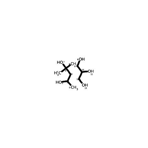 CC(O)CC(C)(C)O.OCC(O)CO